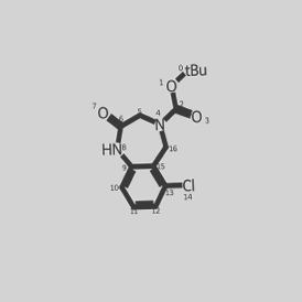 CC(C)(C)OC(=O)N1CC(=O)Nc2cccc(Cl)c2C1